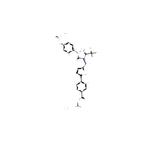 CC(C)OC(=O)c1ccc(-c2ccc(/C=C3\C(=O)N(c4ccc(SN(O)O)cc4)N=C3C(F)(F)F)o2)cc1